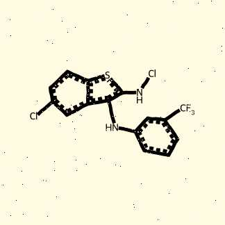 FC(F)(F)c1cccc(Nc2c(NCl)sc3ccc(Cl)cc23)c1